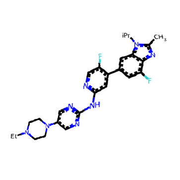 CCN1CCN(c2cnc(Nc3cc(-c4cc(F)c5nc(C)n(C(C)C)c5c4)c(F)cn3)nc2)CC1